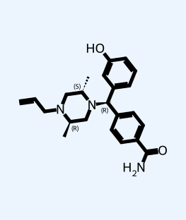 C=CCN1C[C@H](C)N([C@H](c2ccc(C(N)=O)cc2)c2cccc(O)c2)C[C@H]1C